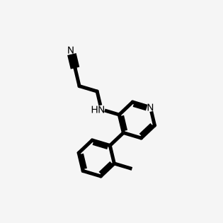 Cc1ccccc1-c1ccncc1NCCC#N